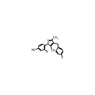 Cc1nn(-c2ccc(C#N)cc2F)c(C)c1Cc1ccc(F)cc1